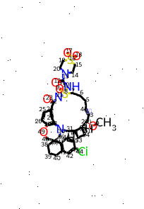 CO[C@H]1/C=C/CCCS(=O)(NC(=O)N2CCS(=O)(=O)CC2)=NC(=O)c2ccc3c(c2)N(C[C@@H]2CC[C@H]21)C[C@@]1(CCCc2cc(Cl)ccc21)CO3